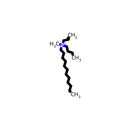 C=CC[N+](C)(CCCC)CCCCCCCCCCCC